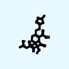 CO[C@@]1(NC(=O)C[S+](C)[O-])C(=O)N2C(C(=O)O)=C(CSc3nnc(C)s3)CS[C@H]21